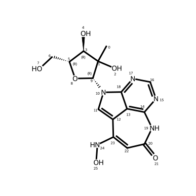 CC1(O)[C@H](O)[C@@H](CO)O[C@H]1n1cc2c3c(ncnc31)NC(=O)C=C2NO